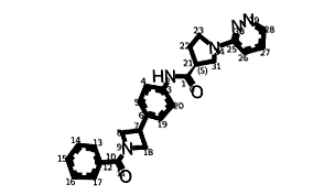 O=C(Nc1ccc(C2CN(C(=O)c3ccccc3)C2)cc1)[C@H]1CCN(c2cccnn2)C1